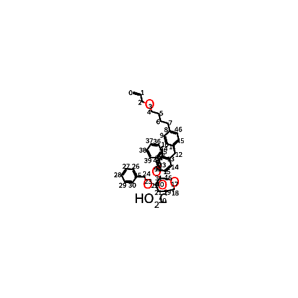 C=CCOCCCCc1ccc(Cc2cc([C@@]34OC[C@@](C(=O)O)(C[C@H](OCc5ccccc5)C3OCc3ccccc3)O4)ccc2C)cc1